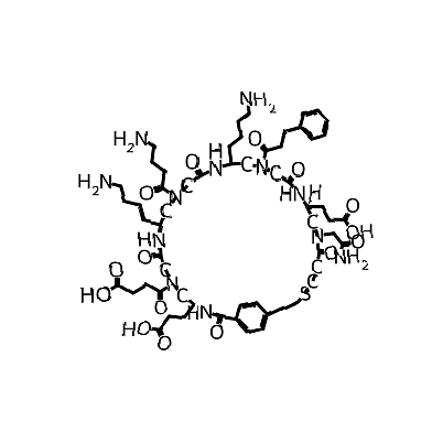 NCCCCC1CN(C(=O)CCCN)CC(=O)NC(CCCCN)CN(C(=O)CCc2ccccc2)CC(=O)N[C@@H](CCC(=O)O)CN(CC(N)=O)C(=O)CCSCc2ccc(cc2)C(=O)NC(CCC(=O)O)CN(C(=O)CCC(=O)O)CC(=O)N1